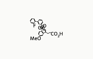 COc1ccc2c(c1)c(CCC(=O)O)cn2S(=O)(=O)c1cccc(-c2ccccc2F)c1